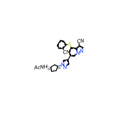 CC(=O)N[C@H]1CC[C@H](n2cc(-c3cc(Sc4ccccc4C#N)c4c(C#N)cnn4c3)cn2)C1